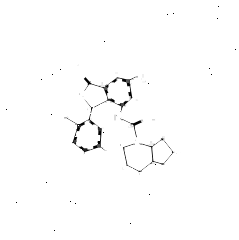 O=C1NC(c2cc(F)ccc2Cl)c2c(NC(=O)N3CCCC4CCCC43)cc(Br)cc21